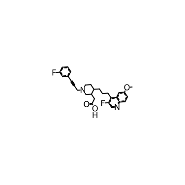 COc1ccc2ncc(F)c(CCCC3CCN(CC#Cc4cccc(F)c4)CC3CC(=O)O)c2c1